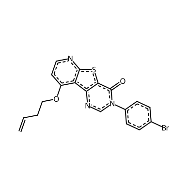 C=CCCOc1ccnc2sc3c(=O)n(-c4ccc(Br)cc4)cnc3c12